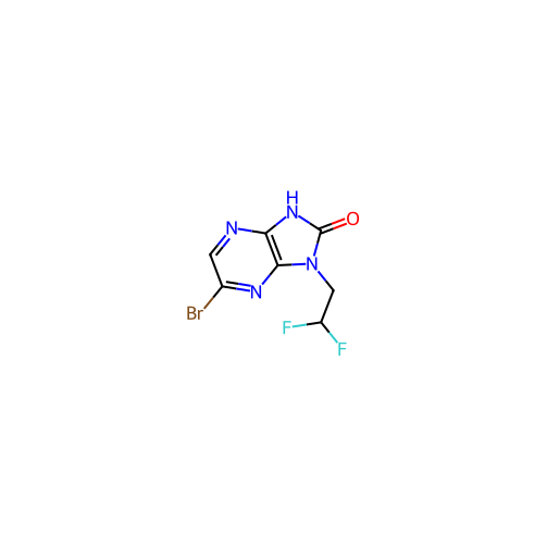 O=c1[nH]c2ncc(Br)nc2n1CC(F)F